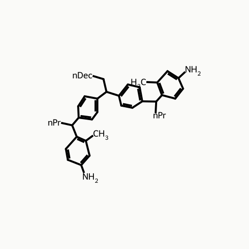 CCCCCCCCCCCC(c1ccc(C(CCC)c2ccc(N)cc2C)cc1)c1ccc(C(CCC)c2ccc(N)cc2C)cc1